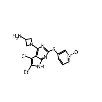 CCc1[nH]c2nc(Sc3ccc[n+]([O-])c3)nc(N3CC(N)C3)c2c1Cl